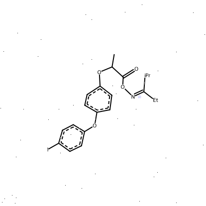 CC/C(=N/OC(=O)C(C)Oc1ccc(Oc2ccc(I)cc2)cc1)C(C)C